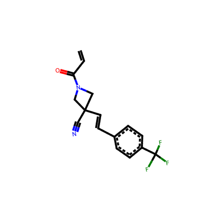 C=CC(=O)N1CC(C#N)(/C=C/c2ccc(C(F)(F)F)cc2)C1